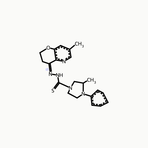 Cc1cnc2c(c1)OCC/C2=N/NC(=S)N1CCN(c2ccccc2)C(C)C1